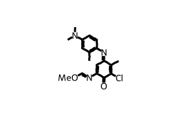 CO/C=N/C1=CC(=Nc2ccc(N(C)C)cc2C)C(C)=C(Cl)C1=O